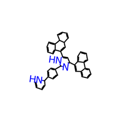 C1=CNC(c2ccc(C3N=C(c4cc5ccccc5c5ccccc45)C=C(C4=CC5C=CC=CC5c5ccccc54)N3)cc2)C=C1